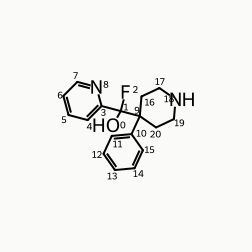 OC(F)(c1ccccn1)C1(c2ccccc2)CCNCC1